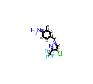 Cc1cc(Cn2cc(Cl)c(C(F)(F)F)n2)ccc1N